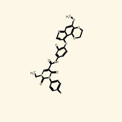 CCn1cc(C(=O)Nc2ccc(Oc3ccnc4cc(OC)c5c(c34)OCCO5)c(F)c2)c(=O)n(-c2ccc(F)cc2)c1=O